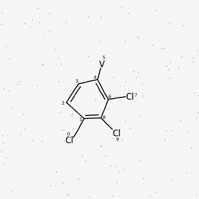 Clc1cc[c]([V])c(Cl)c1Cl